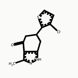 Cc1n[nH]c2c1C(=O)CC(c1sccc1Cl)C2